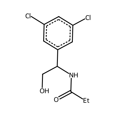 CCC(=O)NC(CO)c1cc(Cl)cc(Cl)c1